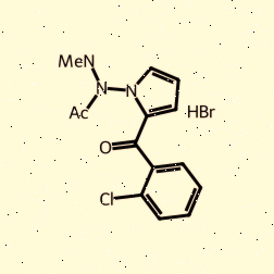 Br.CNN(C(C)=O)n1cccc1C(=O)c1ccccc1Cl